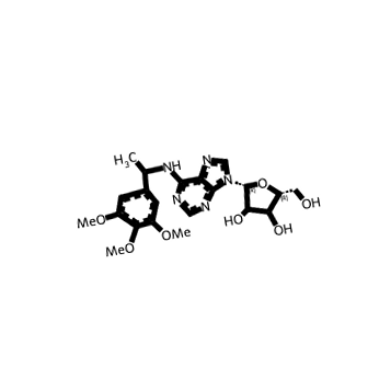 COc1cc(C(C)Nc2ncnc3c2ncn3[C@@H]2O[C@H](CO)C(O)C2O)cc(OC)c1OC